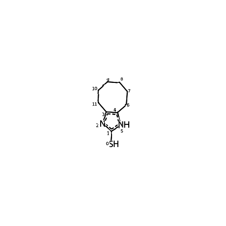 Sc1nc2c([nH]1)CCCCCC2